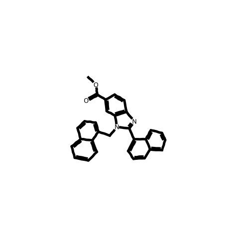 COC(=O)c1ccc2nc(-c3cccc4ccccc34)n(Cc3cccc4ccccc34)c2c1